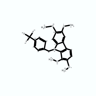 COc1cc2c3ccc(OC)c(OC)c3n(Cc3ccc(C(F)(F)F)cc3)c2cc1OC